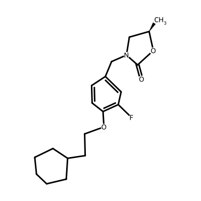 C[C@@H]1CN(Cc2ccc(OCCC3CCCCC3)c(F)c2)C(=O)O1